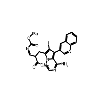 COC(=O)C(/C=N\C(=O)OC(C)(C)C)Cc1c(I)c(-c2cnc3ccccc3c2)c2c(N)ncnn12